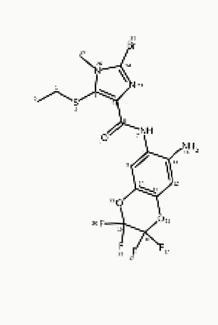 CCSc1c(C(=O)Nc2cc3c(cc2N)OC(F)(F)C(F)(F)O3)nc(Br)n1C